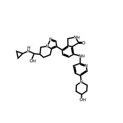 O=C1NCc2c(-c3cnn4c3CCC(C(O)NC3CC3)C4)ccc(Nc3ccc(N4CCC(O)CC4)cn3)c21